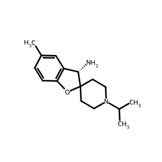 Cc1ccc2c(c1)[C@H](N)C1(CCN(C(C)C)CC1)O2